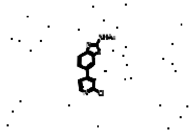 CC(=O)Nc1nc2ccc(-c3ccnc(Cl)c3)cc2s1